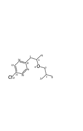 CC(C)COC(C)Cc1ccc(Cl)cc1